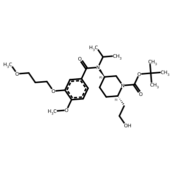 COCCCOc1cc(C(=O)N(C(C)C)[C@@H]2CC[C@@H](CCO)N(C(=O)OC(C)(C)C)C2)ccc1OC